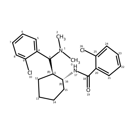 CN(C)C(c1ccccc1Cl)[C@@H]1CCCC[C@H]1NC(=O)c1ccccc1Cl